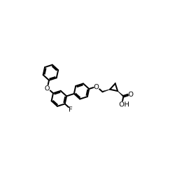 O=C(O)[C@@H]1C[C@@H]1COc1ccc(-c2cc(Oc3ccccc3)ccc2F)cc1